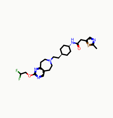 Cc1ncc(CC(=O)N[C@H]2CC[C@H](CCN3CCc4cnc(OCC(F)F)nc4CC3)CC2)s1